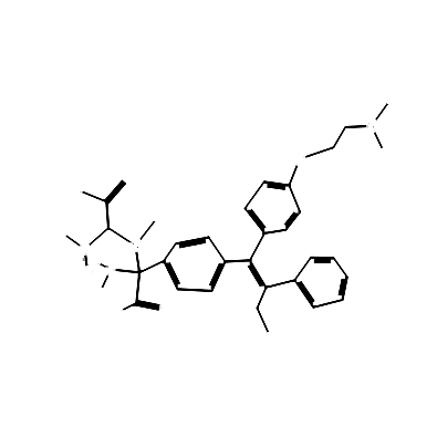 CCC(=C(c1ccc(OCCN(C)C)cc1)c1ccc(C(B(O)O)(C(=O)O)N(C)C(B(O)O)C(=O)O)cc1)c1ccccc1